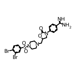 N=C(N)c1ccc(N2CC(CN3CCN(S(=O)(=O)c4ccc(Br)c(Br)c4)CC3)OC2=O)cc1